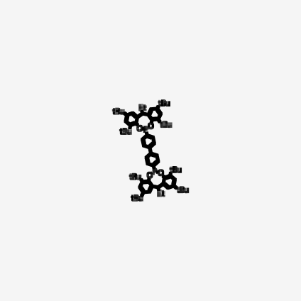 CCC1c2cc(C(C)(C)C)cc(C(C)(C)C)c2OP(c2ccc(-c3ccc(P4Oc5c(cc(C(C)(C)C)cc5C(C)(C)C)C(CC)c5cc(C(C)(C)C)cc(C(C)(C)C)c5O4)cc3)cc2)Oc2c1cc(C(C)(C)C)cc2C(C)(C)C